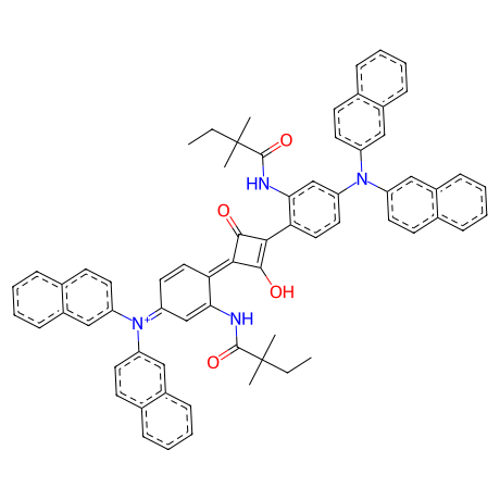 CCC(C)(C)C(=O)NC1=CC(=[N+](c2ccc3ccccc3c2)c2ccc3ccccc3c2)C=C/C1=C1\C(=O)C(c2ccc(N(c3ccc4ccccc4c3)c3ccc4ccccc4c3)cc2NC(=O)C(C)(C)CC)=C1O